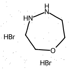 Br.Br.C1COCCNN1